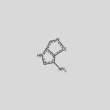 Nc1c[nH]c2cnsc12